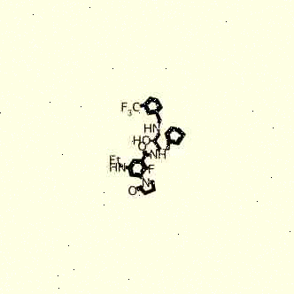 CCNc1cc(C(=O)N[C@@H](Cc2ccccc2)[C@@H](O)CNCc2cccc(C(F)(F)F)c2)c(F)c(N2CCCC2=O)c1